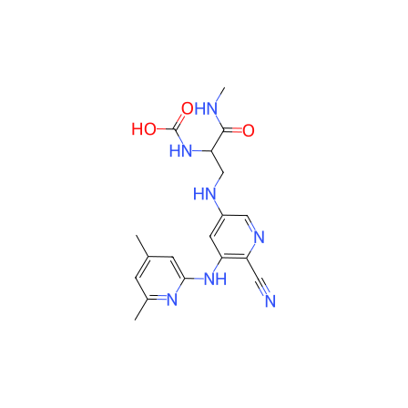 CNC(=O)C(CNc1cnc(C#N)c(Nc2cc(C)cc(C)n2)c1)NC(=O)O